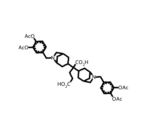 CC(=O)Oc1ccc(CN2CC3CC2CC(C(CCC(=O)O)(C(=O)O)C2CC4CC(C2)N(Cc2ccc(OC(C)=O)c(OC(C)=O)c2)C4)C3)cc1OC(C)=O